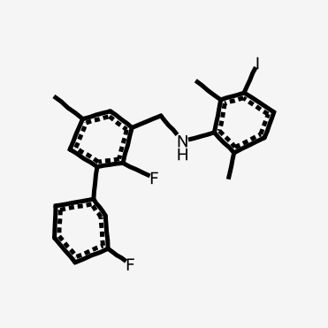 Cc1cc(CNc2c(C)ccc(I)c2C)c(F)c(-c2cccc(F)c2)c1